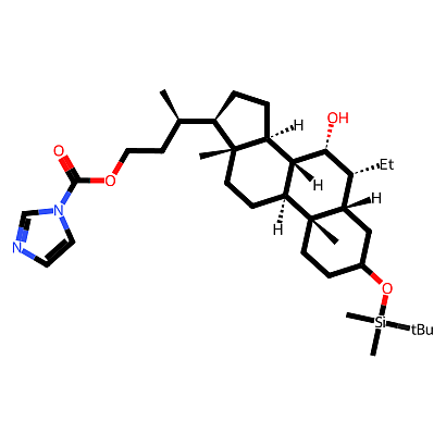 CC[C@H]1[C@@H](O)[C@@H]2[C@H](CC[C@]3(C)[C@@H]([C@H](C)CCOC(=O)n4ccnc4)CC[C@@H]23)[C@@]2(C)CCC(O[Si](C)(C)C(C)(C)C)C[C@@H]12